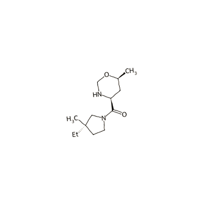 CC[C@@]1(C)CCN(C(=O)[C@@H]2C[C@H](C)OCN2)C1